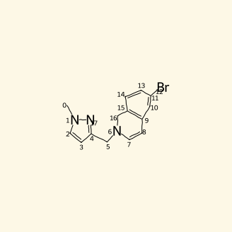 Cn1ccc(CN2C=Cc3cc(Br)ccc3C2)n1